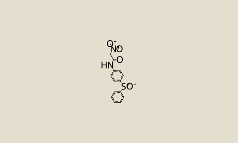 O=C(C[N+](=O)[O-])Nc1ccc([S+]([O-])c2ccccc2)cc1